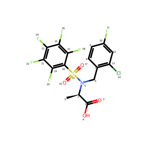 C[C@H](C(=O)O)N(Cc1ccc(F)cc1Cl)S(=O)(=O)c1c(F)c(F)c(F)c(F)c1F